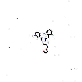 Nc1cccc(-c2cn3c(=O)c(Cc4ccco4)nc-3c(Cc3c(F)cccc3F)[nH]2)c1F